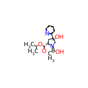 CB(O)N1C[C@](O)(c2ccccn2)C[C@H]1C(=O)OC(C)C